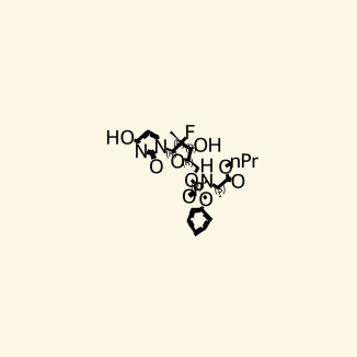 CCCOC(=O)[C@H](C)N[P@@](=O)(OC[C@H]1O[C@@H](n2ccc(O)nc2=O)[C@](C)(F)[C@@H]1O)Oc1ccccc1